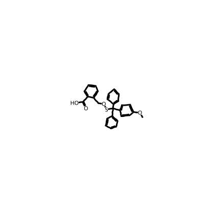 COc1ccc(C(SOCc2ccccc2C(=O)O)(c2ccccc2)c2ccccc2)cc1